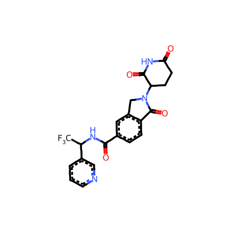 O=C1CCC(N2Cc3cc(C(=O)NC(c4cccnc4)C(F)(F)F)ccc3C2=O)C(=O)N1